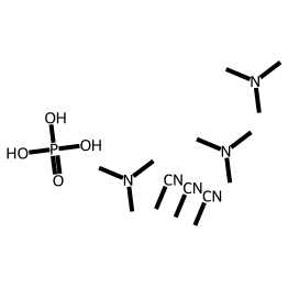 CC#N.CC#N.CC#N.CN(C)C.CN(C)C.CN(C)C.O=P(O)(O)O